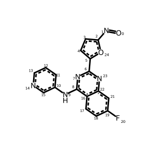 O=Nc1ccc(-c2nc(Nc3cccnc3)c3ccc(F)cc3n2)o1